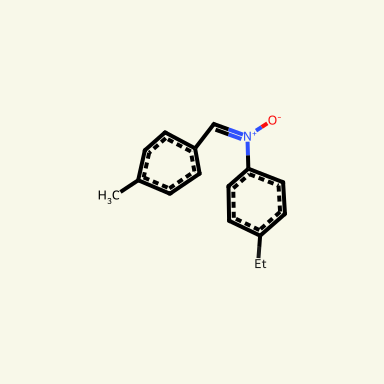 CCc1ccc(/[N+]([O-])=C\c2ccc(C)cc2)cc1